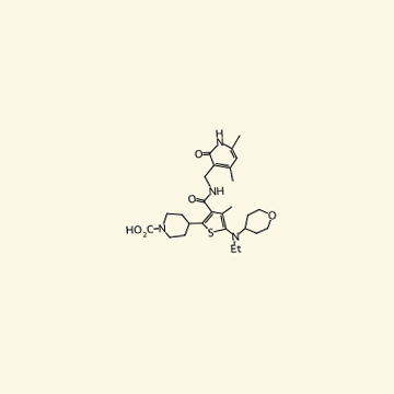 CCN(c1sc(C2CCN(C(=O)O)CC2)c(C(=O)NCc2c(C)cc(C)[nH]c2=O)c1C)C1CCOCC1